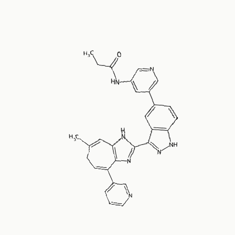 CCC(=O)Nc1cncc(-c2ccc3[nH]nc(-c4nc5c([nH]4)C=C(C)CC=C5c4cccnc4)c3c2)c1